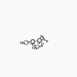 C[C@@H](Oc1nc(-c2ccc(N3CCNCC3)nc2)cc2ncn(C3CC3)c12)[C@H]1CNC(=O)C1